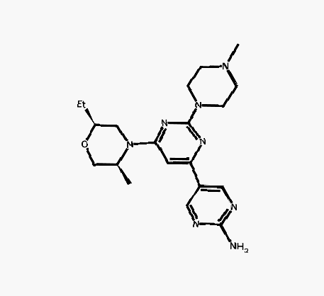 CC[C@H]1CN(c2cc(-c3cnc(N)nc3)nc(N3CCN(C)CC3)n2)[C@@H](C)CO1